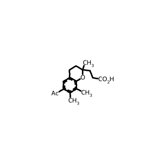 CC(=O)c1cc2c(c(C)c1C)OC(C)(CCC(=O)O)CC2